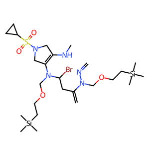 C=NN(COCC[Si](C)(C)C)C(=C)CC(Br)N(COCC[Si](C)(C)C)C1=C(NC)CN(S(=O)(=O)C2CC2)C1